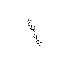 CCCC(O)C1CCC(c2ccc(CCC3CCC(c4ccc(C5CO5)c(F)c4)CC3)c(F)c2F)CC1